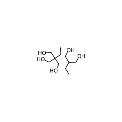 CCC(CO)(CO)CO.CCC(CO)CO